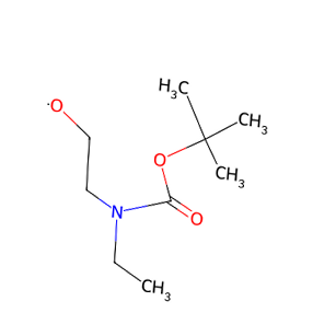 CCN(CC[O])C(=O)OC(C)(C)C